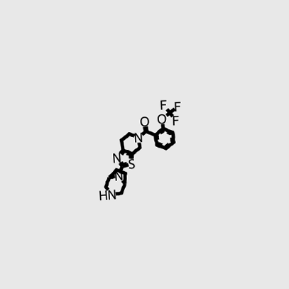 O=C(c1ccccc1OC(F)(F)F)N1CCc2nc(N3C4CCC3CNC4)sc2C1